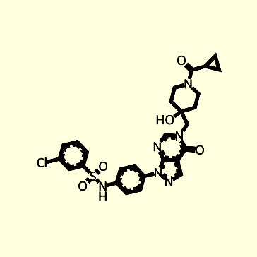 O=C(C1CC1)N1CCC(O)(Cn2cnc3c(cnn3-c3ccc(NS(=O)(=O)c4cccc(Cl)c4)cc3)c2=O)CC1